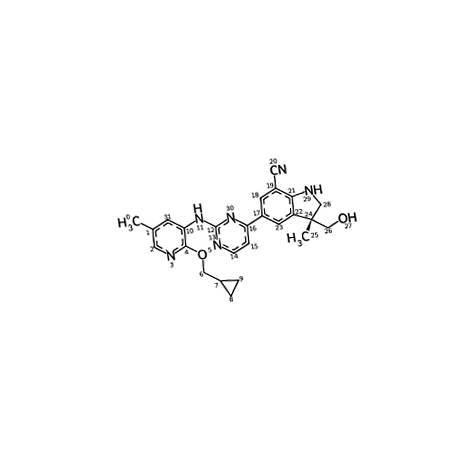 Cc1cnc(OCC2CC2)c(Nc2nccc(-c3cc(C#N)c4c(c3)[C@@](C)(CO)CN4)n2)c1